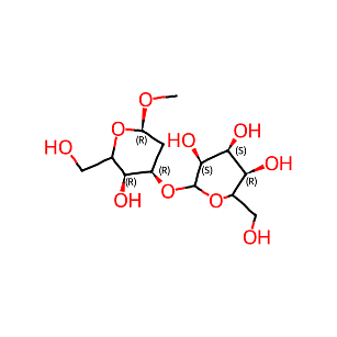 CO[C@H]1C[C@@H](OC2OC(CO)[C@H](O)[C@H](O)[C@@H]2O)[C@@H](O)C(CO)O1